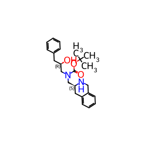 CC(C)(C)OC(=O)N(C[C@H](O)Cc1ccccc1)C[C@@H]1Cc2ccccc2CN1